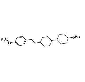 CCCC[C@H]1CC[C@H](C2CCC(CCc3ccc(OC(F)(F)F)cc3)CC2)CC1